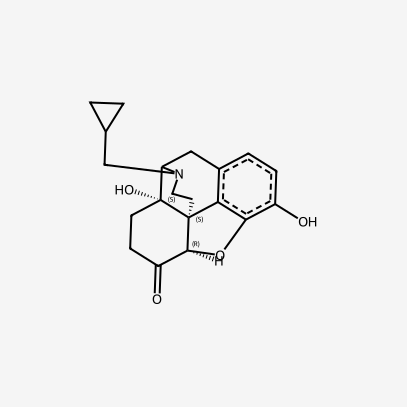 O=C1CC[C@@]2(O)C3Cc4ccc(O)c5c4[C@@]2(CCN3CC2CC2)[C@H]1O5